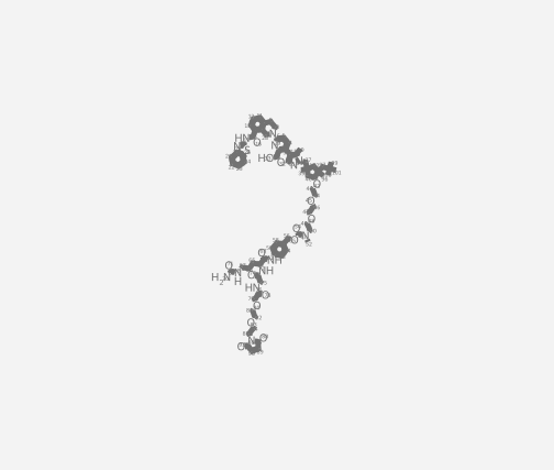 Cc1c(-c2ccc(N3CCc4cccc(C(=O)Nc5nc6ccccc6s5)c4C3)nc2C(=O)O)cnn1CC1(C)CC(OCCOCCOCCN(C)C(=O)OCc2ccc(NC(=O)C(CCCNC(N)=O)NC(=O)CNC(=O)COCCOCCN3C(=O)C=CC3=O)cc2)C(C)(CC(C)(C)C)C1